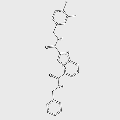 Cc1cc(CNC(=O)c2cn3c(C(=O)NCc4ccccc4)cccc3n2)ccc1F